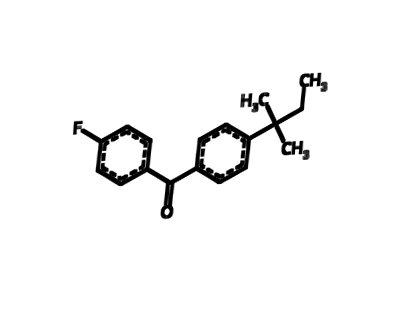 CCC(C)(C)c1ccc(C(=O)c2ccc(F)cc2)cc1